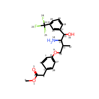 COC(=O)Cc1ccc(OCC(C)C(N)C(O)c2cccc(C(F)(F)F)c2)cc1